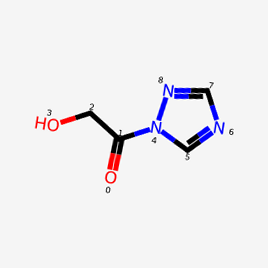 O=C(CO)n1cncn1